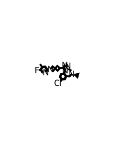 Cc1cc(N2CC3(CC(c4nnc5n4-c4ccc(Cl)cc4CN(C4CC4)C5)C3)C2)ncc1F